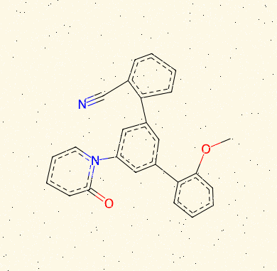 COc1ccccc1-c1cc(-c2ccccc2C#N)cc(-n2ccccc2=O)c1